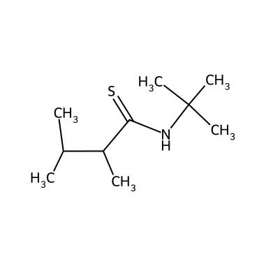 CC(C)C(C)C(=S)NC(C)(C)C